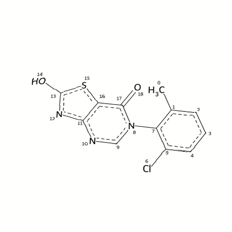 Cc1cccc(Cl)c1-n1cnc2nc(O)sc2c1=O